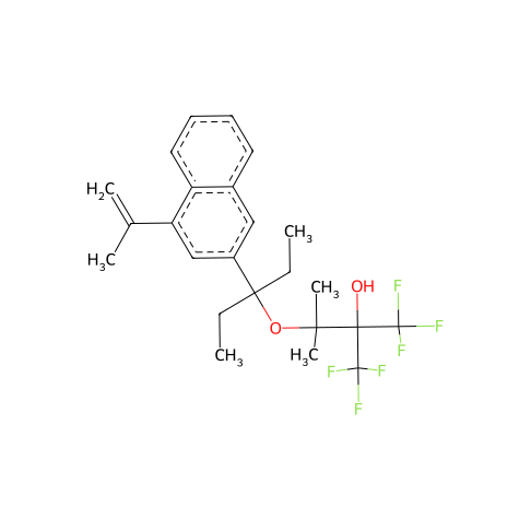 C=C(C)c1cc(C(CC)(CC)OC(C)(C)C(O)(C(F)(F)F)C(F)(F)F)cc2ccccc12